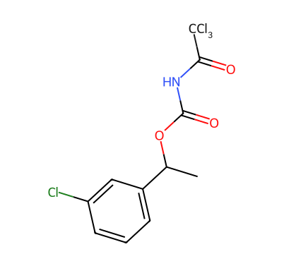 CC(OC(=O)NC(=O)C(Cl)(Cl)Cl)c1cccc(Cl)c1